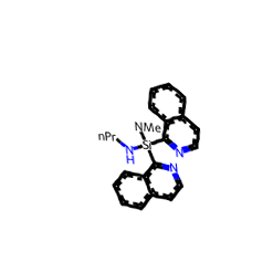 CCCN[Si](NC)(c1nccc2ccccc12)c1nccc2ccccc12